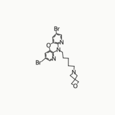 Brc1cnc2c(c1)Oc1cc(Br)cnc1N2CCCCCN1CC2(COC2)C1